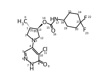 C[C@H]1CN(c2cn[nH]c(=O)c2Cl)C[C@@H]1OC(=O)NC1CCC(F)(F)CC1